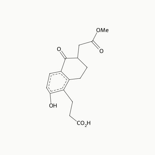 COC(=O)CC1CCc2c(ccc(O)c2CCC(=O)O)C1=O